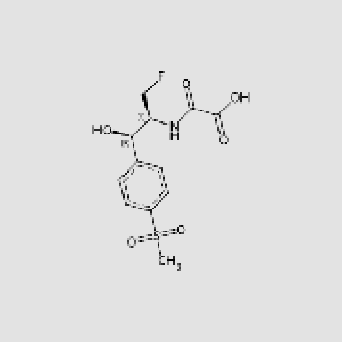 CS(=O)(=O)c1ccc([C@@H](O)[C@@H](CF)NC(=O)C(=O)O)cc1